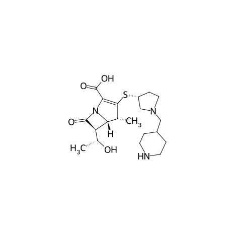 C[C@@H](O)[C@H]1C(=O)N2C(C(=O)O)=C(S[C@@H]3CCN(CC4CCNCC4)C3)[C@H](C)[C@H]12